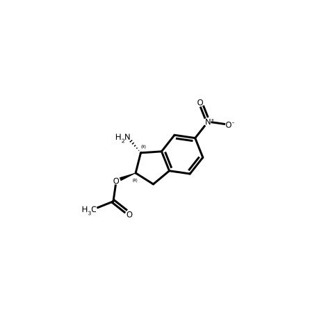 CC(=O)O[C@@H]1Cc2ccc([N+](=O)[O-])cc2[C@H]1N